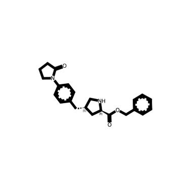 O=C(OCc1ccccc1)[C@H]1C[C@H](Cc2ccc(N3CCCC3=O)cc2)CN1